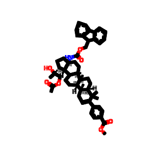 COC(=O)c1ccc(C2=CC[C@]3(C)[C@H]4CCC5[C@H]6[C@H](C(C)(O)COC(C)=O)CC[C@]6(NC(=O)OCC6c7ccccc7-c7ccccc76)CC[C@@]5(C)[C@]4(C)CC[C@H]3C2(C)C)cc1